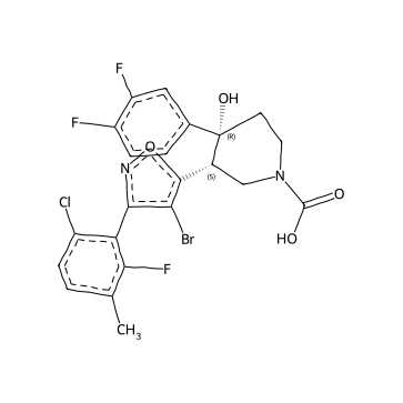 Cc1ccc(Cl)c(-c2noc([C@H]3CN(C(=O)O)CC[C@]3(O)c3ccc(F)c(F)c3)c2Br)c1F